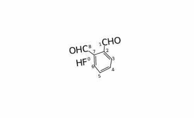 F.O=Cc1ccccc1C=O